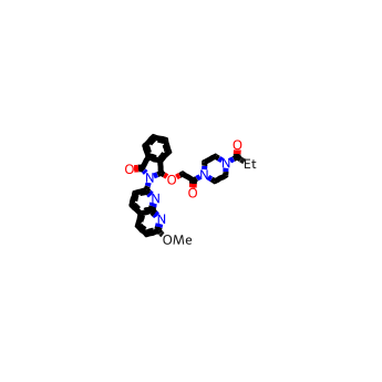 CCC(=O)N1CCN(C(=O)COC2c3ccccc3C(=O)N2c2ccc3ccc(OC)nc3n2)CC1